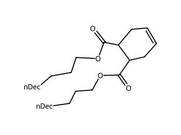 CCCCCCCCCCCCCOC(=O)C1CC=CCC1C(=O)OCCCCCCCCCCCCC